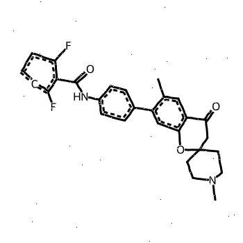 Cc1cc2c(cc1-c1ccc(NC(=O)c3c(F)cccc3F)cc1)OC1(CCN(C)CC1)CC2=O